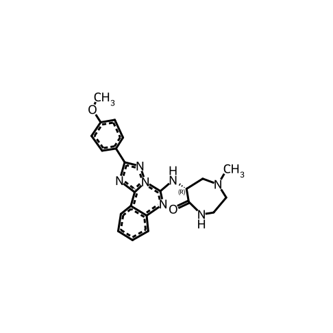 COc1ccc(-c2nc3c4ccccc4nc(N[C@@H]4CN(C)CCNC4=O)n3n2)cc1